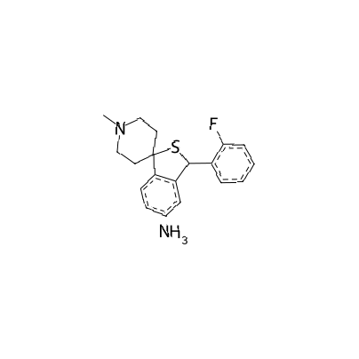 CN1CCC2(CC1)SC(c1ccccc1F)c1ccccc12.N